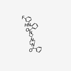 O=C(c1ccccc1)N1CCN(C2CN(C(=O)c3ccccc3Nc3cccc(F)c3)C2)CC1